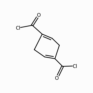 O=C(Cl)C1=CCC(C(=O)Cl)=CC1